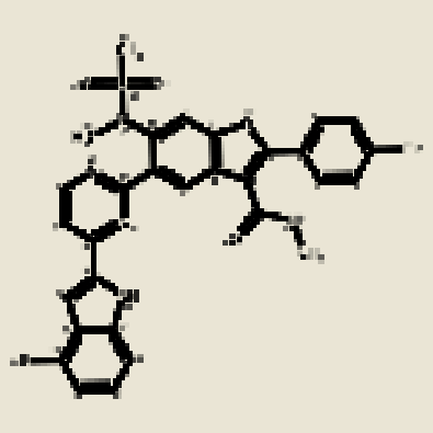 CNC(=O)c1c(-c2ccc(F)cc2)oc2cc(N(C)S(C)(=O)=O)c(-c3nccc(-c4cc5c(F)cccc5[nH]4)n3)cc12